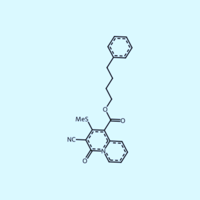 CSc1c(C#N)c(=O)n2ccccc2c1C(=O)OCCCCc1ccccc1